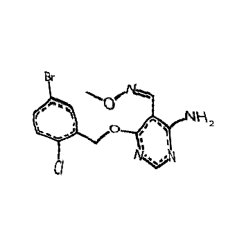 CO/N=C\c1c(N)ncnc1OCc1cc(Br)ccc1Cl